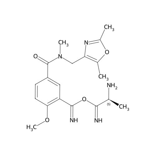 COc1ccc(C(=O)N(C)Cc2nc(C)oc2C)cc1C(=N)OC(=N)[C@H](C)N